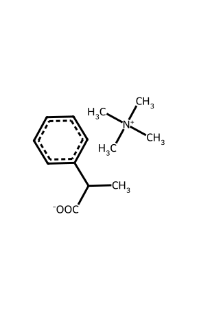 CC(C(=O)[O-])c1ccccc1.C[N+](C)(C)C